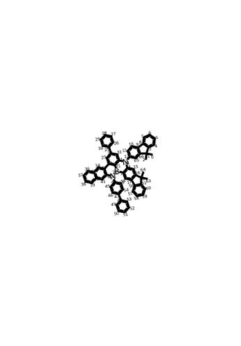 CC1(C)c2ccccc2-c2ccc(N3c4cc5c(cc4B4c6c(cc(-c7ccccc7)cc63)-c3cc6ccccc6cc3N4c3ccc(-c4ccccc4)cc3)-c3ccccc3C5(C)C)cc21